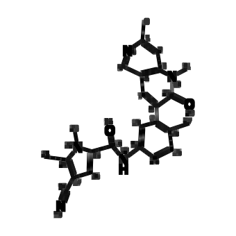 Cc1cc2c(cn1)cc(-c1cc(NC(=O)c3cc(C#N)c(C)n3C)ccc1C)c(=O)n2C